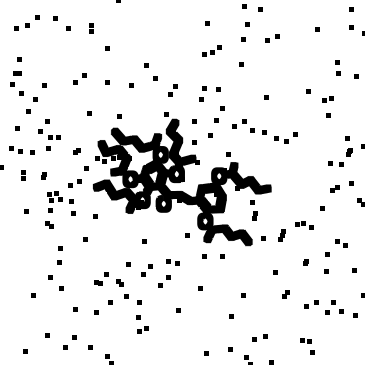 CCCCC(C)Oc1ccc(OC(C)CCCC)c(CCC(=O)c2c(OC(C)CCCC)c(OC(C)CCCC)cc(OC(C)CCCC)c2OC(C)CCCC)c1